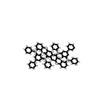 c1ccc(-c2cc3c4c(c2)n(-c2ccccc2)c2c5cc6oc7cccc8c7p7c9c(cc(-c%10ccccc%10)cc9n(-c9ccccc9)c(c5cc5oc9cccc(c9p4c52)n3-c2ccccc2)c67)n8-c2ccccc2)cc1